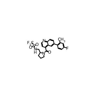 Cc1cc(F)ccc1-c1ccc2nccc(C(=O)N3CCCC3CNS(=O)(=O)C(F)(F)F)c2c1